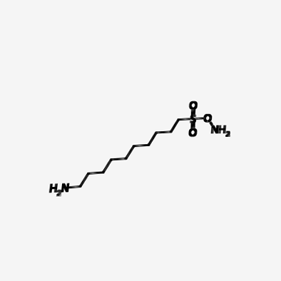 NCCCCCCCCCCS(=O)(=O)ON